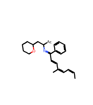 C\C=C/C=C(C)\C=C\C(=N\C(CC1CCCCO1)C(C)=O)c1ccccc1